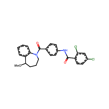 COC1CCCN(C(=O)c2ccc(NC(=O)c3ccc(Cl)cc3Cl)cc2)c2ccccc21